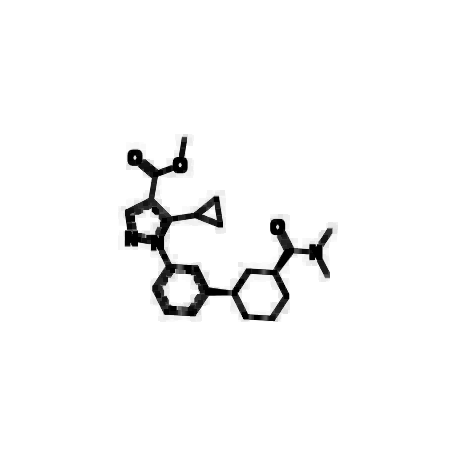 COC(=O)c1cnn(-c2cccc([C@@H]3CCC[C@H](C(=O)N(C)C)C3)c2)c1C1CC1